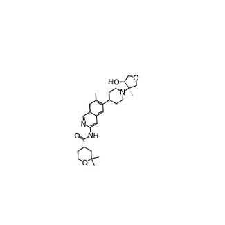 Cc1cc2cnc(NC(=O)[C@H]3CCOC(C)(C)C3)cc2cc1C1CCN([C@]2(C)COC[C@@H]2O)CC1